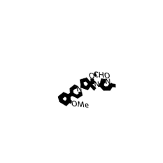 COc1ccccc1C1CCN([C@@H]2CCC3(C2)CN(c2ccc(C)nc2)C3OC=O)CC1